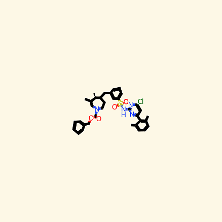 Cc1cccc(C)c1-c1cc(Cl)nc(NS(=O)(=O)c2cccc(CC3CCN(C(=O)OCc4ccccc4)CC(C)[C@H]3C)c2)n1